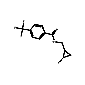 O=C(NCC1C[C@H]1F)c1ccc(C(F)(F)F)cc1